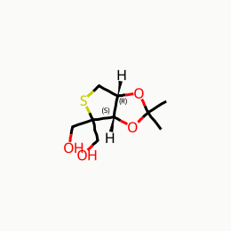 CC1(C)O[C@H]2CSC(CO)(CO)[C@H]2O1